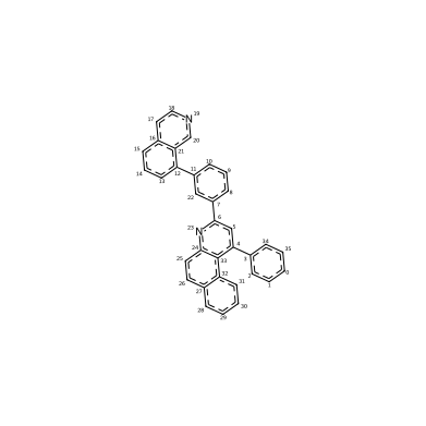 c1ccc(-c2cc(-c3cccc(-c4cccc5ccncc45)c3)nc3ccc4ccccc4c23)cc1